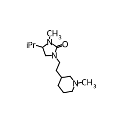 CC(C)C1CN(CCC2CCCN(C)C2)C(=O)N1C